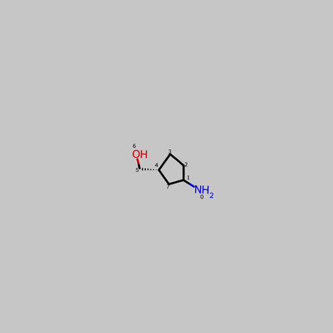 NC1CC[C@@H](CO)C1